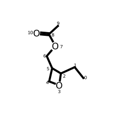 CCC1OCC1COC(C)=O